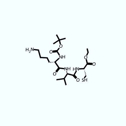 CCOC(=O)[C@H](CS)NC(=O)[C@@H](NC(=O)[C@H](CCCCN)NC(=O)OC(C)(C)C)C(C)C